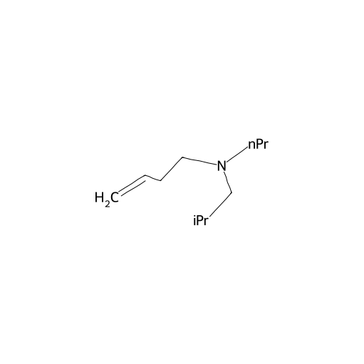 C=CCCN(CCC)CC(C)C